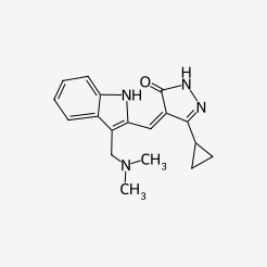 CN(C)Cc1c(C=C2C(=O)NN=C2C2CC2)[nH]c2ccccc12